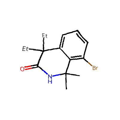 CCC1(CC)C(=O)NC(C)(C)c2c(Br)cccc21